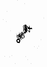 COc1nc(C)nc(CNC(=O)NS(=O)(=O)C2=CCCCC2)n1